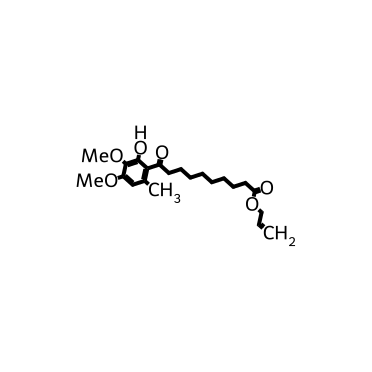 C=CCOC(=O)CCCCCCCCC(=O)c1c(C)cc(OC)c(OC)c1O